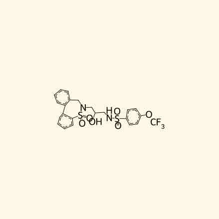 O=S(=O)(NCC(O)CN1Cc2ccccc2-c2ccccc2S1(=O)=O)c1ccc(OC(F)(F)F)cc1